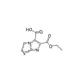 CCOC(=O)c1nc2sccn2c1C(=O)O